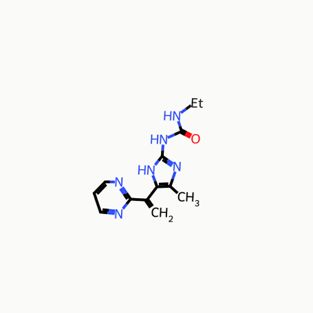 C=C(c1ncccn1)c1[nH]c(NC(=O)NCC)nc1C